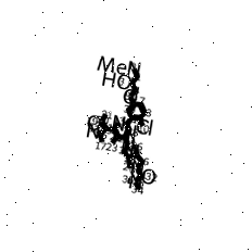 CNC[C@@H](O)COc1ccc(Cl)c(-c2nc(-c3c(C)noc3C)c(C)c(N3CC4=C(CN(C(=O)N(C)C)C4)C3)n2)c1